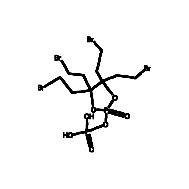 O=P(O)(O)OP1(=O)OC(CCBr)(CCBr)C(CCBr)(CCBr)O1